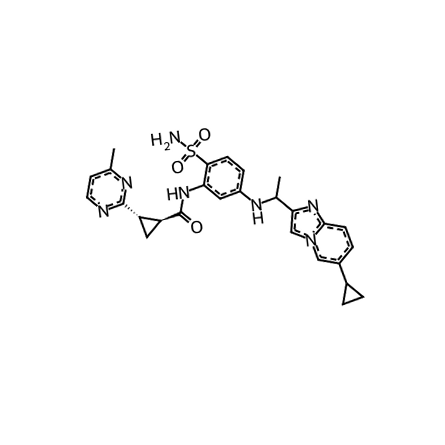 Cc1ccnc([C@H]2C[C@@H]2C(=O)Nc2cc(NC(C)c3cn4cc(C5CC5)ccc4n3)ccc2S(N)(=O)=O)n1